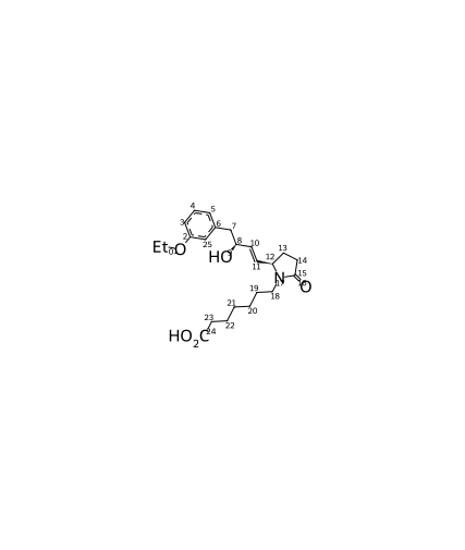 CCOc1cccc(C[C@H](O)/C=C/[C@H]2CCC(=O)N2CCCCCCC(=O)O)c1